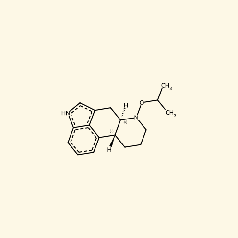 CC(C)ON1CCC[C@@H]2c3cccc4[nH]cc(c34)C[C@H]21